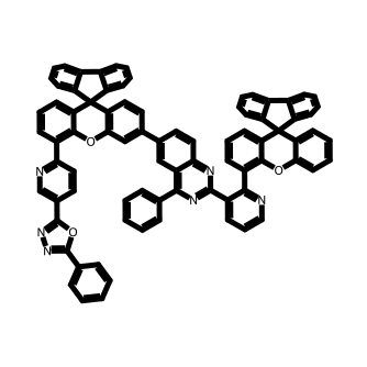 c1ccc(-c2nnc(-c3ccc(-c4cccc5c4Oc4cc(-c6ccc7nc(-c8cccnc8-c8cccc9c8Oc8ccccc8C98c9ccccc9-c9ccccc98)nc(-c8ccccc8)c7c6)ccc4C54c5ccccc5-c5ccccc54)nc3)o2)cc1